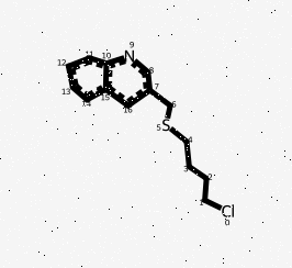 ClCCCCSCc1cnc2ccccc2c1